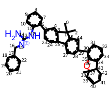 CC1(C)c2cc(-c3ccccc3N/C(N)=N/Cc3ccccc3)ccc2-c2ccc(-c3cccc4c3OC3(C)C=CC=CC43)cc21